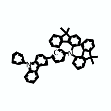 CC1(C)c2ccccc2-c2c(N(c3ccc(-c4ccc5c(c4)c4ccccc4n5-c4ccccc4)cc3)c3cccc4c3-c3ccccc3C4(C)C)cccc21